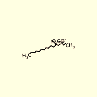 CCCCCCCCCCCC(=O)C[N+](C)([O-])CCC